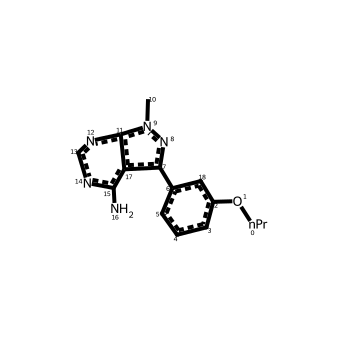 CCCOc1cccc(-c2nn(C)c3ncnc(N)c23)c1